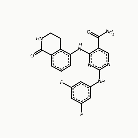 NC(=O)c1cnc(Nc2cc(F)cc(F)c2)nc1Nc1cccc2c1CCNC2=O